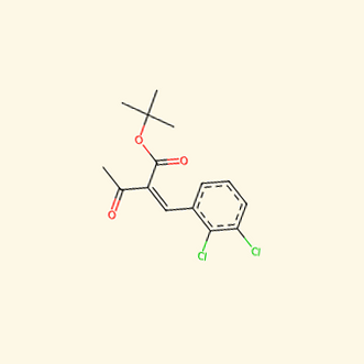 CC(=O)C(=Cc1cccc(Cl)c1Cl)C(=O)OC(C)(C)C